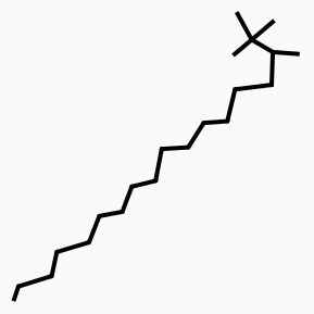 CCCCCCCCCCCCCCCC(C)C(C)(C)C